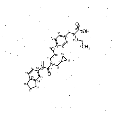 CCOC(Cc1ccc(OCCN(CC2CC2)C(=O)Nc2ccc3c(c2)CCC3)cc1)C(=O)O